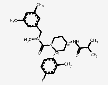 Cc1cc(F)ccc1[C@H]1C[C@@H](NC(=O)C(C)C(F)(F)F)CCN1C(=O)N(C)Cc1cc(C(F)(F)F)cc(C(F)(F)F)c1